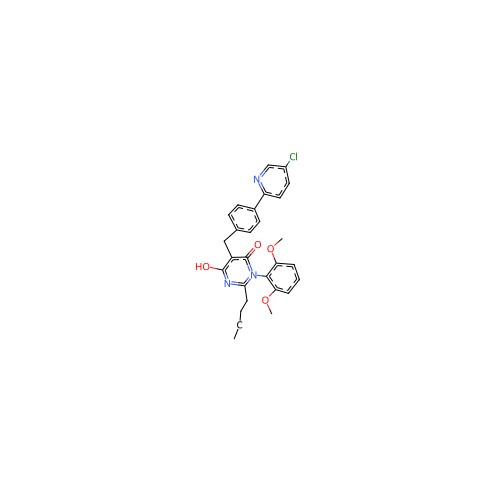 CCCCc1nc(O)c(Cc2ccc(-c3ccc(Cl)cn3)cc2)c(=O)n1-c1c(OC)cccc1OC